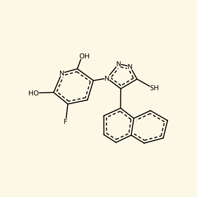 Oc1nc(O)c(-n2nnc(S)c2-c2cccc3ccccc23)cc1F